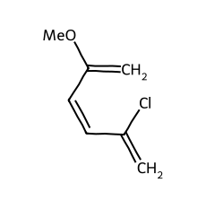 C=C(Cl)/C=C\C(=C)OC